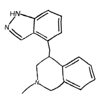 CN1Cc2ccccc2C(c2cccc3[nH]ncc23)C1